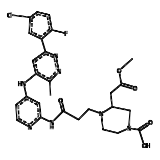 COC(=O)CC1CN(C(=O)O)CCN1CCC(=O)Nc1cc(Nc2cc(-c3cc(Cl)ccc3F)nnc2C)ccn1